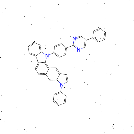 c1ccc(-c2cnc(-c3ccc(-n4c5ccccc5c5ccc6cc7c(ccn7-c7ccccc7)cc6c54)cc3)nc2)cc1